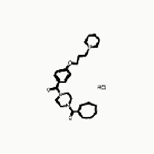 Cl.O=C(c1ccc(OCCCN2CCCCC2)cc1)N1CCN(C(=O)C2CCCCCC2)CC1